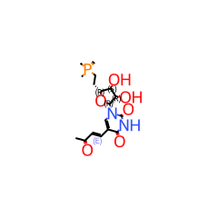 C=P(C)(C)CC[C@H]1O[C@@H](n2cc(/C=C/C(C)=O)c(=O)[nH]c2=O)[C@H](O)[C@@H]1O